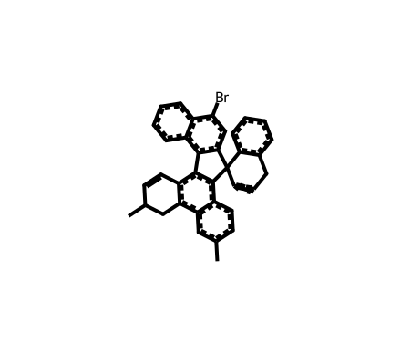 Cc1ccc2c3c(c4c(c2c1)CC(C)C=C4)-c1c(cc(Br)c2ccccc12)C31c2ccccc2Cc2ccccc21